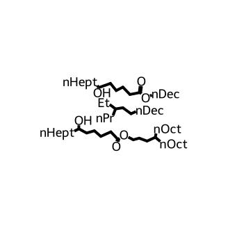 CCCCCCCCC(CCCCCCCC)CCCOC(=O)CCCCC(O)CCCCCCC.CCCCCCCCCCCCC(CC)CCC.CCCCCCCCCCOC(=O)CCCCC(O)CCCCCCC